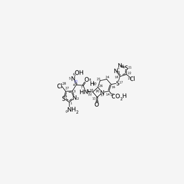 Nc1nc(/C(=N/O)C(=O)N[C@@H]2C(=O)N3C(C(=O)O)=C(Sc4nnsc4Cl)CC[C@H]23)c(Cl)s1